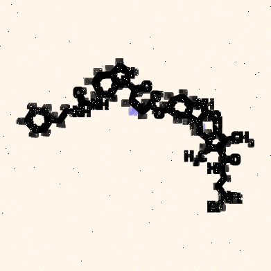 CCN(CC)CCNC(=O)c1c(C)[nH]c(/C=C2\C(=O)Nc3ccc(OC(=O)/C=C\C(=O)n4ncc5ccc(NC(=O)NCCc6ccccc6)cc54)cc32)c1C